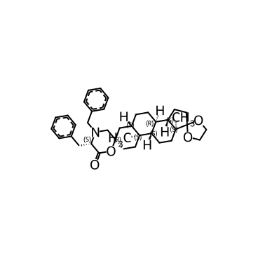 C[C@]12CC[C@@]3(C[C@@H]1CC[C@@H]1[C@@H]2CC[C@@]2(C)[C@H]1CCC21OCCO1)CN(Cc1ccccc1)[C@@H](Cc1ccccc1)C(=O)O3